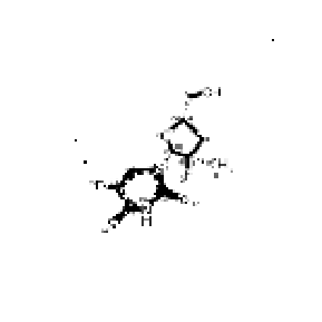 C[C@@]1(F)C[C@@H](CO)O[C@H]1n1cc(F)c(=S)[nH]c1=O